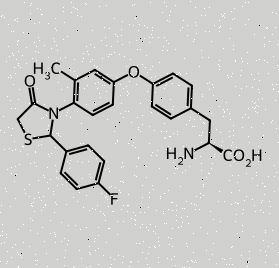 Cc1cc(Oc2ccc(C[C@H](N)C(=O)O)cc2)ccc1N1C(=O)CSC1c1ccc(F)cc1